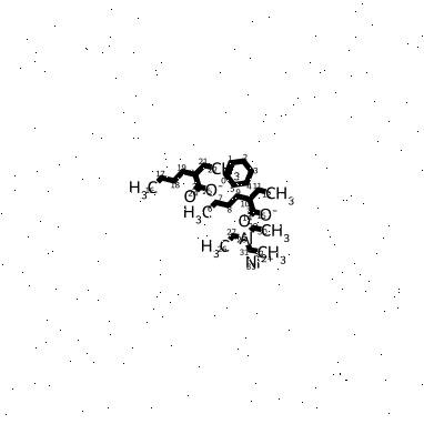 C1=CCCCC1.CCCCC(CC)C(=O)[O-].CCCCC(CC)C(=O)[O-].C[CH2][Al]([CH2]C)[CH2]C.[Ni+2]